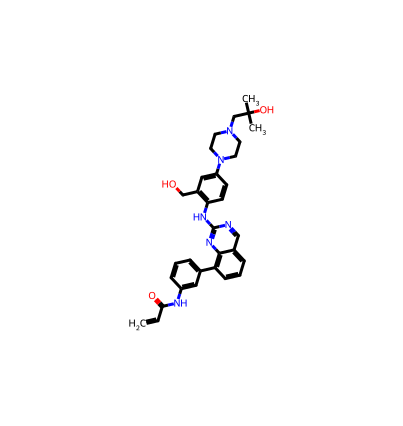 C=CC(=O)Nc1cccc(-c2cccc3cnc(Nc4ccc(N5CCN(CC(C)(C)O)CC5)cc4CO)nc23)c1